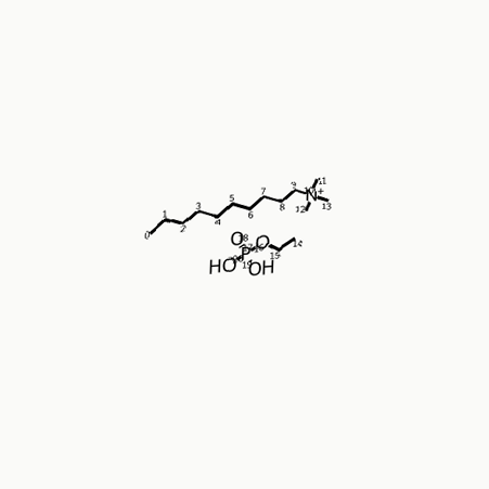 CCCCCCCCCC[N+](C)(C)C.CCOP(=O)(O)O